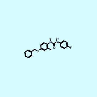 Cc1cc(OCc2ccccc2)ccc1N(C)C(=O)Nc1ccc(F)cc1